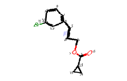 O=C(OC/C=C/c1cccc(Br)c1)C1CC1